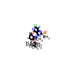 CN1c2nc([S+](C)[O-])nc3c(F)c(Cl)nc(c23)O[C@@H]2CCC[C@H](O[Si](C)(C)C(C)(C)C)[C@H]21